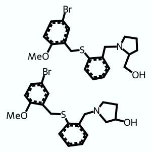 COc1ccc(Br)cc1CSc1ccccc1CN1CCC(O)C1.COc1ccc(Br)cc1CSc1ccccc1CN1CCCC1CO